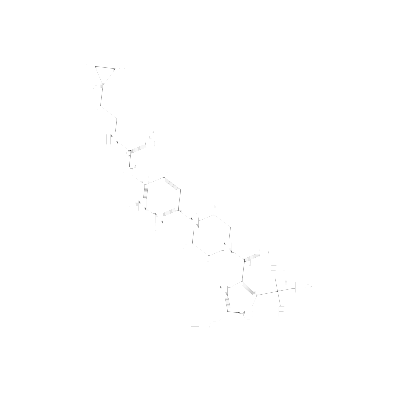 Cc1nc(C(=O)N2CCN(c3ccc(OC(=O)NCCC4CC4)nn3)CC2)c(C(F)(F)F)o1